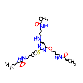 C=CC(=O)NCCCCNc1cc(OCCCCNC(=O)C=C)nc(SCCCCNC(=O)C=C)n1